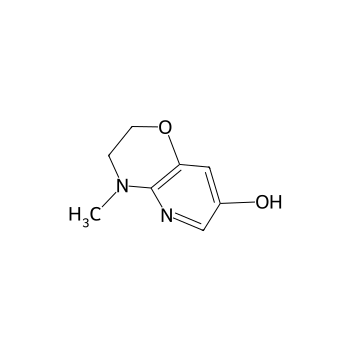 CN1CCOc2cc(O)cnc21